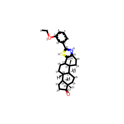 CCOc1cccc(-c2nc3c(s2)C2CC[C@@H]4[C@H](CC[C@]5(C)C(=O)CC[C@@H]45)[C@@]2(C)CC3)c1